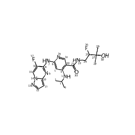 CC(C)Nc1cc(Nc2nc3ccnn3cc2F)ncc1C(=O)NCC(F)C(C)(C)O